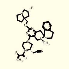 C=C(F)C(=O)N1CCN(c2nc(OC[C@@]34CCCN3C[C@H](F)C4)nc3c2CN(C)[C@@]2(CCCc4ccccc42)C3)C[C@@H]1CC#N